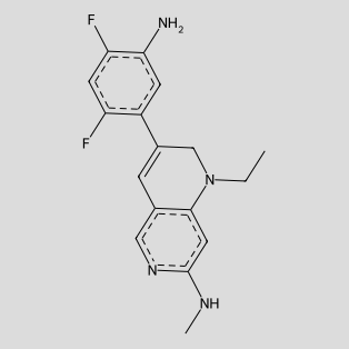 CCN1CC(c2cc(N)c(F)cc2F)=Cc2cnc(NC)cc21